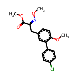 CON=C(Cc1ccc(OC)c(-c2ccc(Cl)cc2)c1)C(=O)OC